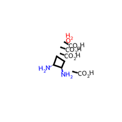 CC(=O)O.CC(=O)O.CC(=O)O.CC(=O)O.N[C@@H]1CC[C@H]1N.O